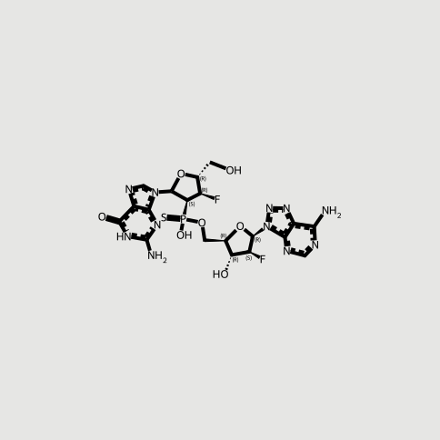 Nc1nc2c(ncn2C2O[C@H](CO)[C@@H](F)[C@H]2P(O)(=S)OC[C@H]2O[C@@H](n3nnc4c(N)ncnc43)[C@@H](F)[C@@H]2O)c(=O)[nH]1